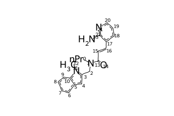 CCCN(Cc1cc2ccccc2n1C)C(=O)/C=C/c1cccnc1N